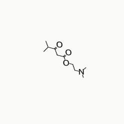 CC(C)C(=O)CC(=O)OCCN(C)C